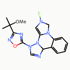 COC(C)(C)c1noc(N2C=NC3c4ccccc4N4CN(F)C=C4N32)n1